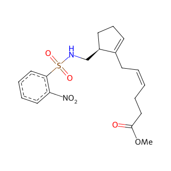 COC(=O)CC/C=C\CC1=CCC[C@@H]1CNS(=O)(=O)c1ccccc1[N+](=O)[O-]